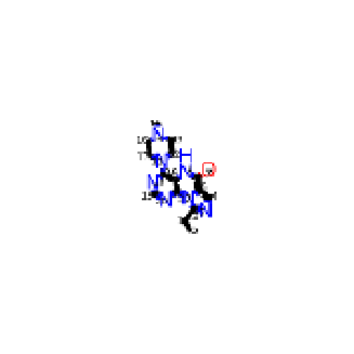 CCc1ncc2c(=O)[nH]c3c(N4CCN(C)CC4)ncnc3n12